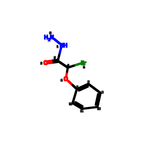 NNC(=O)C(Br)Oc1ccccc1